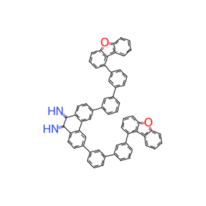 N=C1C(=N)c2ccc(-c3cccc(-c4cccc(-c5cccc6oc7ccccc7c56)c4)c3)cc2-c2cc(-c3cccc(-c4cccc(-c5cccc6oc7ccccc7c56)c4)c3)ccc21